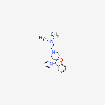 CCN(CC)CCN1CCC2(CC1)Oc1ccccc1C2n1cccc1